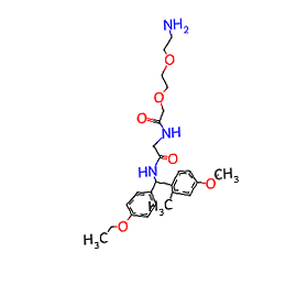 CCOc1ccc(C(NC(=O)CNC(=O)COCCOCCN)c2ccc(OC)cc2C)cc1